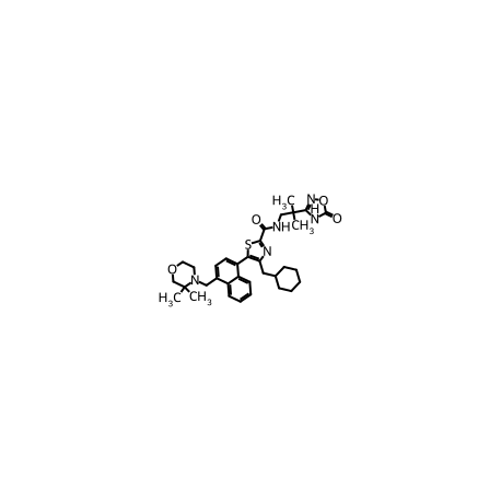 CC(C)(CNC(=O)c1nc(CC2CCCCC2)c(-c2ccc(CN3CCOCC3(C)C)c3ccccc23)s1)c1noc(=O)[nH]1